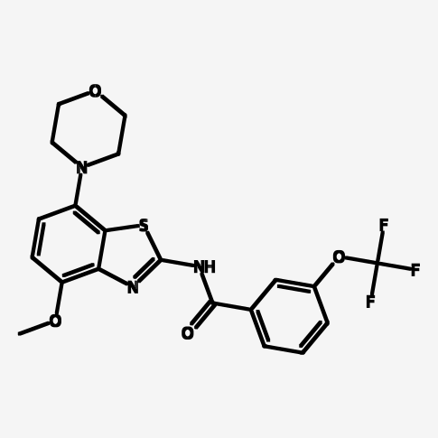 COc1ccc(N2CCOCC2)c2sc(NC(=O)c3cccc(OC(F)(F)F)c3)nc12